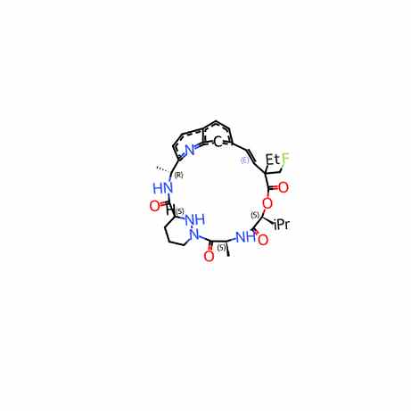 CCC1(CF)/C=C/c2ccc3ccc(nc3c2)[C@@H](C)NC(=O)[C@@H]2CCCN(N2)C(=O)[C@H](C)NC(=O)[C@H](C(C)C)OC1=O